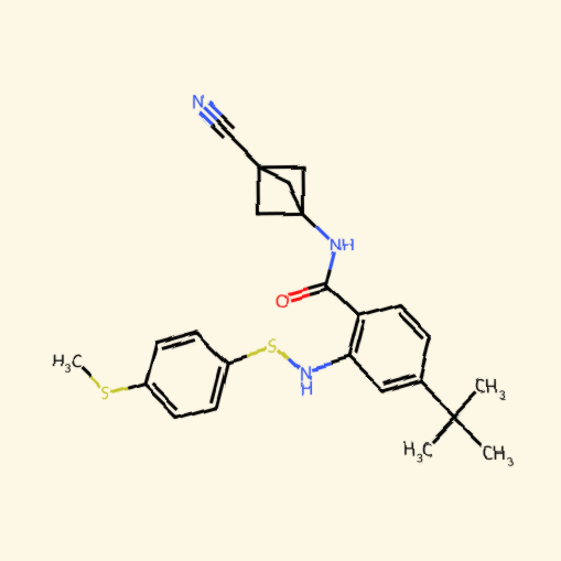 CSc1ccc(SNc2cc(C(C)(C)C)ccc2C(=O)NC23CC(C#N)(C2)C3)cc1